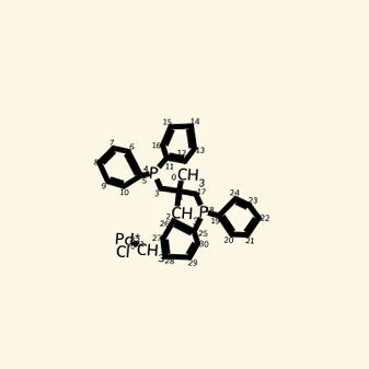 CC(C)(CP(c1ccccc1)c1ccccc1)CP(c1ccccc1)c1ccccc1.[CH3][Pd+].[Cl-]